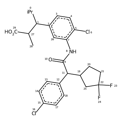 CC(C)C(c1ccc(Cl)c(NC(=O)C(c2ccc(Cl)cc2)C2CCC(F)(F)C2)c1)C(C)C(=O)O